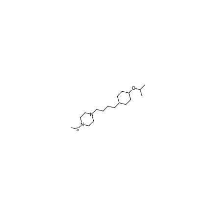 CSN1CCN(CCCCC2CCC(OC(C)C)CC2)CC1